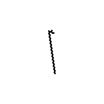 CCCCCCCCCCCCCCCCCCCCCCCCCCC(C)C(C)CC